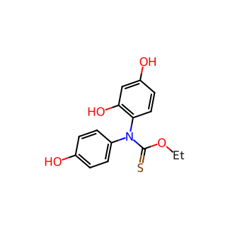 CCOC(=S)N(c1ccc(O)cc1)c1ccc(O)cc1O